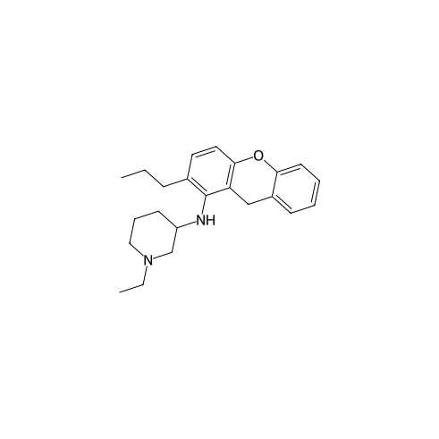 CCCc1ccc2c(c1NC1CCCN(CC)C1)Cc1ccccc1O2